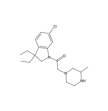 CCC1(CC)CN(C(=O)CN2CCNC(C)C2)c2cc(Cl)ccc21